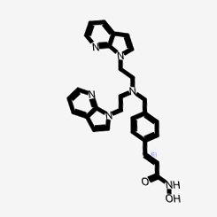 O=C(/C=C/c1ccc(CN(CCn2ccc3cccnc32)CCn2ccc3cccnc32)cc1)NO